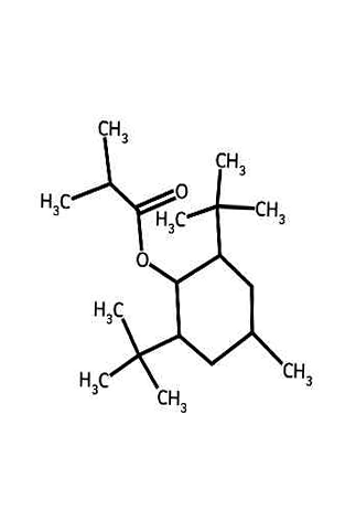 CC1CC(C(C)(C)C)C(OC(=O)C(C)C)C(C(C)(C)C)C1